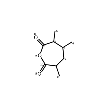 CC1CC(C)C(C)C(=O)OC1=O